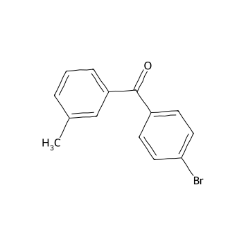 Cc1cccc(C(=O)c2ccc(Br)cc2)c1